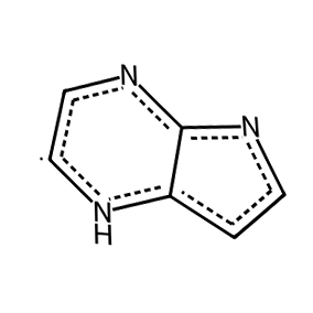 [c]1cnc2nccc-2[nH]1